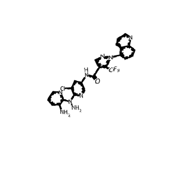 Nc1cccnc1N(N)c1ncc(NC(=O)c2cnn(-c3cccc4ncccc34)c2C(F)(F)F)cc1Cl